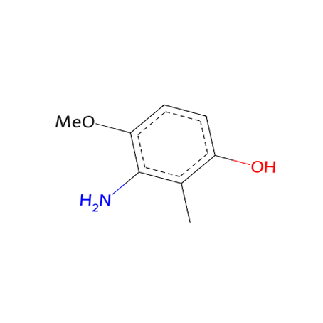 COc1ccc(O)c(C)c1N